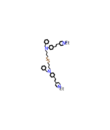 CCN1C=CC(/C=C/c2ccc(N(CCCCSSCCCCN(Cc3ccccc3)c3ccc(/C=C/c4cc[n+](CC)cc4)cc3)Cc3ccccc3)cc2)=CC1